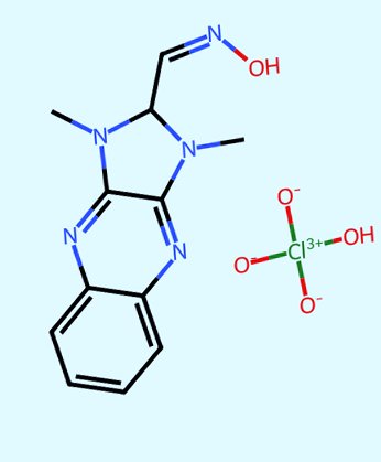 CN1c2nc3ccccc3nc2N(C)C1/C=N\O.[O-][Cl+3]([O-])([O-])O